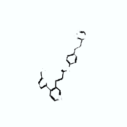 NCc1ccc(-c2ccncc2C=CC(=O)Nc2ccc(CCc3nnco3)cc2)o1